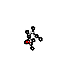 c1ccc(-c2ccc(-c3nc(-c4ccccc4)nc(-n4c5ccccc5c5cc6c7ccccc7n(-c7ccccc7-c7cc(-c8ccccc8)nc(-c8ccccc8)n7)c6cc54)n3)cc2)cc1